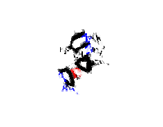 C=C1C=CN(C)C(N(C)c2ccc(Oc3ccnc(N)c3)cc2C)C1C